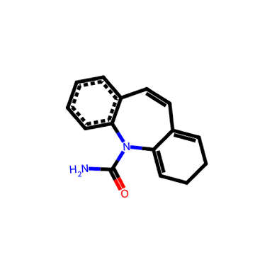 NC(=O)N1C2=CCCC=C2C=Cc2ccccc21